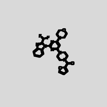 O=C(c1ccco1)N1CCN(c2cc(N3CCOCC3)nc(-n3c(C(F)F)nc4ccccc43)n2)CC1